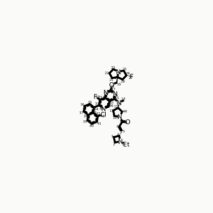 CCN1CC[C@@H]1C=CC(=O)N1CC[C@@H](N(C)c2nc(OC[C@@]34CCCN3C[C@H](F)C4)nc3c(F)c(-c4cccc5cccc(Cl)c45)ncc23)C1